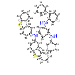 c1ccc(Nc2cc(Nc3ccccc3-c3ccccc3)cc(N(c3ccc4sc5ccccc5c4c3)c3ccc4sc5ccccc5c4c3)c2)cc1